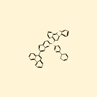 C1=CCC(c2ccc(N(c3ccc4ccc(-c5cc6ccccc6c6ccccc56)cc4c3)c3cc4c5ccccc5sc4c4ccccc34)cc2)C=C1